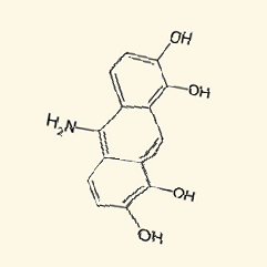 Nc1c2ccc(O)c(O)c2cc2c(O)c(O)ccc12